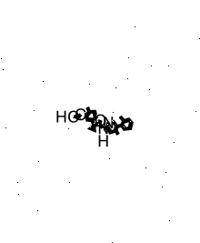 Cc1ccc(C2(C(=O)Nc3cc(C)c(-c4ccccc4C)cn3)CC2)cc1OCO